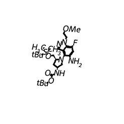 COCCn1ncc2c(N3C[C@@H](NC(=O)OC(C)(C)C)C[C@H]3CO[Si](C)(C)C(C)(C)C)c(N)cc(F)c21